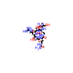 CCNC(=O)[C@H](CCCNC(N)=O)NC(=O)[C@H](CO)NC(=O)[C@H](CCCNC(=N)N)NC(=O)[C@@H](CO)NC(=O)[C@@H](CO)NC(=O)[C@H](N)CO